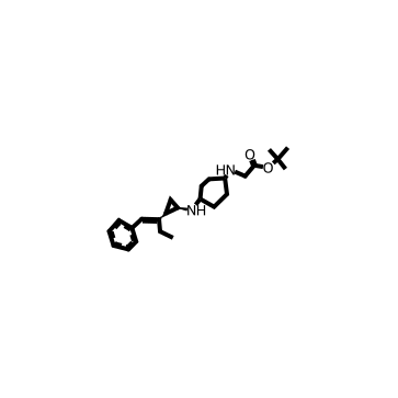 CC/C(=C\c1ccccc1)[C@@H]1C[C@H]1NC1CCC(NCC(=O)OC(C)(C)C)CC1